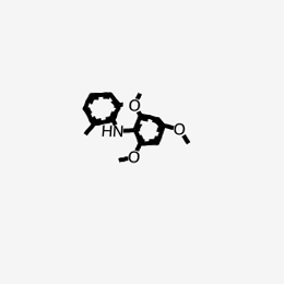 COc1cc(OC)c(Nc2c(C)cccc2C)c(OC)c1